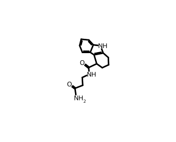 NC(=O)CCNC(=O)C1CCCc2[nH]c3ccccc3c21